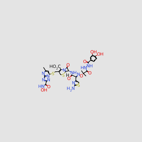 Cc1cc(SCC2=C(C(=O)O)N3C(=O)[C@@H](NC(=O)C(=NOC(C)(C)C(=O)NNC(=O)c4ccc(O)c(O)c4)c4csc(N)n4)[C@H]3SC2)n2nc(C(=O)NO)nc2n1